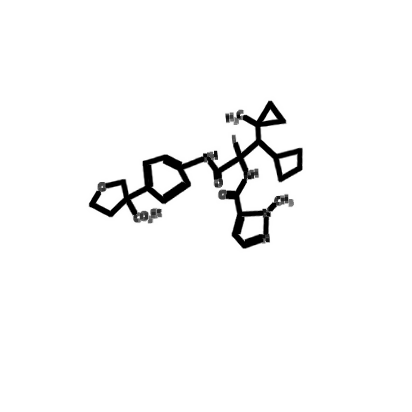 CCOC(=O)C1(c2ccc(NC(=O)C(I)(NC(=O)c3ccnn3C)C(C3CCC3)C3(C)CC3)cc2)CCOC1